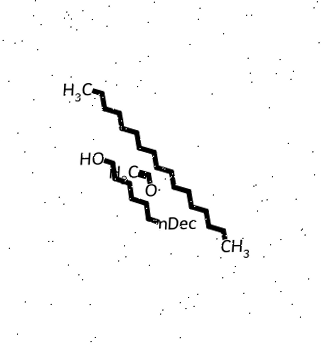 C=C[O].CCCCCCCCCCCCCCCCC.CCCCCCCCCCCCCCCCO